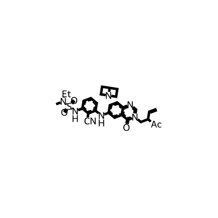 C1CN2CCC12.C=CC(Cn1cnc2ccc(Nc3cccc(NS(=O)(=O)N(C)CC)c3C#N)cc2c1=O)C(C)=O